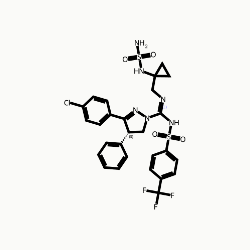 NS(=O)(=O)NC1(C/N=C(/NS(=O)(=O)c2ccc(C(F)(F)F)cc2)N2C[C@H](c3ccccc3)C(c3ccc(Cl)cc3)=N2)CC1